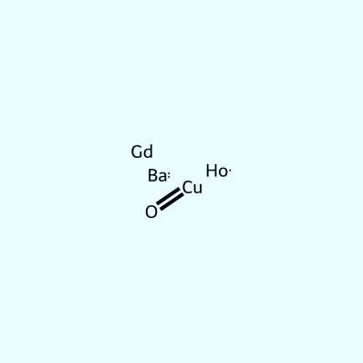 [Ba].[Gd].[Ho].[O]=[Cu]